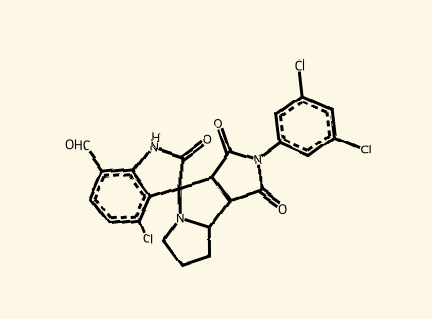 O=Cc1ccc(Cl)c2c1NC(=O)C21C2C(=O)N(c3cc(Cl)cc(Cl)c3)C(=O)C2C2CCCN21